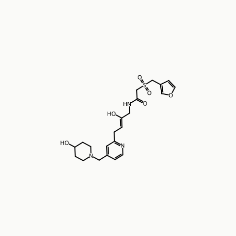 O=C(CS(=O)(=O)Cc1ccoc1)NCC(O)=CCc1cc(CN2CCC(O)CC2)ccn1